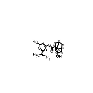 C=C(C)C(=O)OC(CCO)OC(=O)C12CC3CC(CC(O)(C3)C1)C2